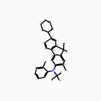 Cc1ccccc1N(c1cc2c(cc1C)C(C)(C)c1cc(C3CCCCC3)ccc1-2)C(C)(C)C